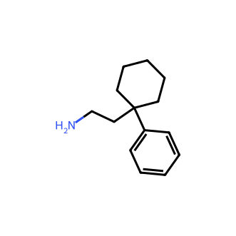 NCCC1(c2ccccc2)CCCCC1